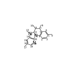 Cc1ccc2c(c1)C(C)C(C)C1N(C)c3cc(C)cnc3N21